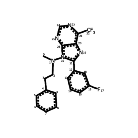 CN(CCc1ccccc1)n1c(-c2cccc(F)c2)nc2c(C(F)(F)F)ncnc21